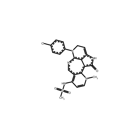 CN1C=CC(NS(C)(=O)=O)=c2cnc3c4c([nH]c(=O)c-4c21)=CCN3c1ccc(Cl)cc1